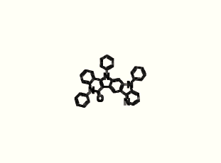 O=c1c2c3cc4c5ncccc5n(-c5ccccc5)c4cc3n(-c3ccccc3)c2c2ccccc2n1-c1ccccc1